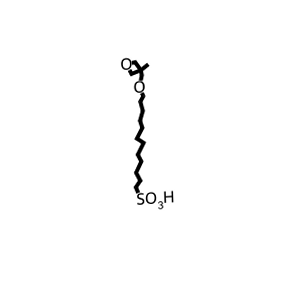 CC1(COCCCCCCCCCCCCS(=O)(=O)O)COC1